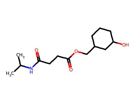 CC(C)NC(=O)CCC(=O)OCC1CCCC(O)C1